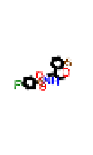 O=S(=O)(NCC1CCOc2c([S])cccc21)c1ccc(F)cc1